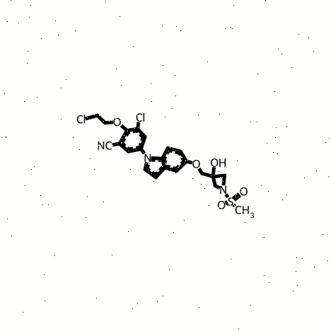 CS(=O)(=O)N1CC(O)(COc2ccc3c(ccn3-c3cc(Cl)c(OCCCl)c(C#N)c3)c2)C1